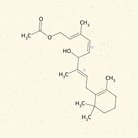 CC(=O)OCC=C(C)/C=C\C(O)/C(C)=C/CC1=C(C)CCCC1(C)C